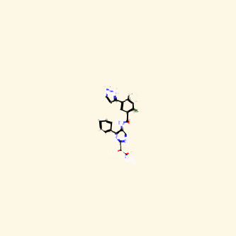 Cn1ccc(-c2cc(C(=O)Nc3cnc(C(O)C(N)=O)nc3-c3ccccc3)c(F)cc2C(F)(F)F)n1